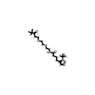 CC(C)(C)C(=O)CCOCCOCCNC(=O)CCCc1cnnn1C(C)(C)C